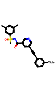 COc1cccc(C#Cc2cncc(C(=O)N=S(C)(=O)c3cc(C)cc(C)c3)c2)c1